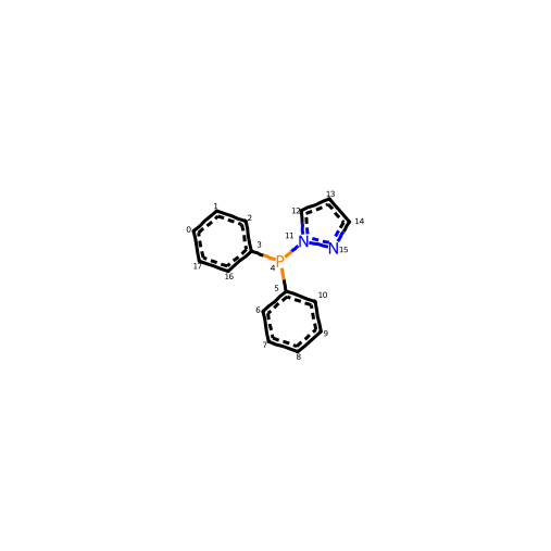 c1ccc(P(c2ccccc2)n2cccn2)cc1